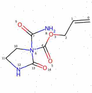 C=CCOC(=O)[N+]1(C(N)=O)CCNC1=O